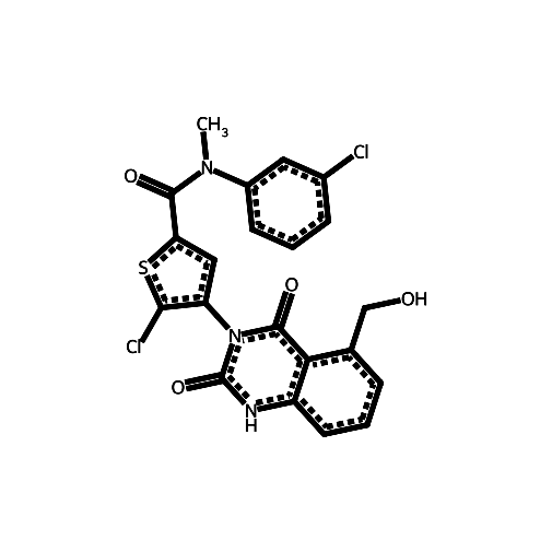 CN(C(=O)c1cc(-n2c(=O)[nH]c3cccc(CO)c3c2=O)c(Cl)s1)c1cccc(Cl)c1